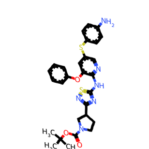 CC(C)(C)OC(=O)N1CCC(c2nsc(Nc3ncc(Sc4ccc(N)cc4)cc3Oc3ccccc3)n2)C1